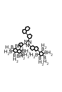 Bc1c(B)c(B)c(-c2ccc3cc(-c4nc(-c5cccc(-c6cccc7ccccc67)c5)nc(-c5cccc(-c6c(B)c(B)c(B)c7c(B)c(B)c(B)c(B)c67)c5)n4)ccc3c2)c(B)c1B